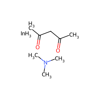 CC(=O)CC(C)=O.CN(C)C.[InH3]